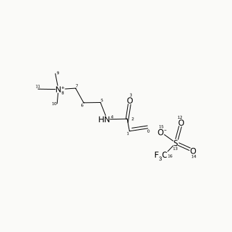 C=CC(=O)NCCC[N+](C)(C)C.O=S(=O)([O-])C(F)(F)F